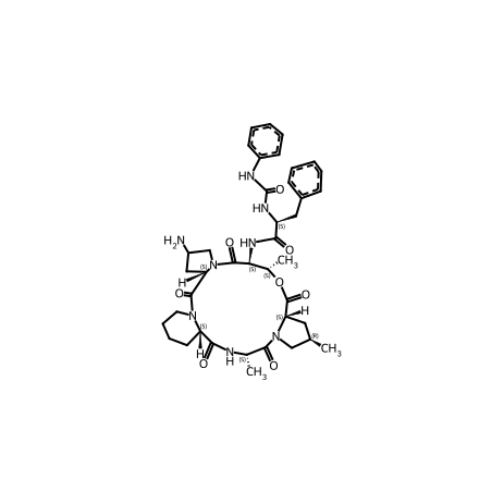 C[C@@H]1C[C@H]2C(=O)O[C@@H](C)[C@H](NC(=O)[C@H](Cc3ccccc3)NC(=O)Nc3ccccc3)C(=O)N3CC(N)C[C@H]3C(=O)N3CCCC[C@H]3C(=O)N[C@@H](C)C(=O)N2C1